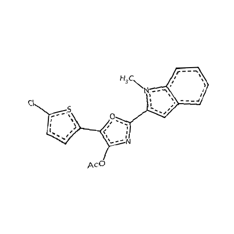 CC(=O)Oc1nc(-c2cc3ccccc3n2C)oc1-c1ccc(Cl)s1